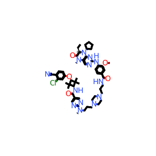 CC[C@@H]1C(=O)N(C)c2cnc(Nc3ccc(C(=O)NCCCN4CCN(CCCN(C)c5ncc(C(=O)N[C@H]6C(C)(C)[C@H](Oc7ccc(C#N)c(Cl)c7)C6(C)C)cn5)CC4)cc3OC)nc2N1C1CCCC1